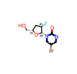 O=c1ncc(Br)cn1[C@@H]1O[C@H](CO)C[C@H]1F